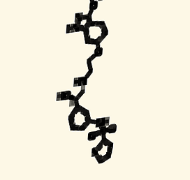 COc1n[nH]c2cc(OCCNC[C@H](O)c3cccc(NS(=O)(=O)c4cccs4)c3)ccc12